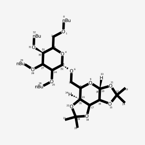 CCCCOCC1O[C@H](OCC2O[C@@H]3OC(C)(C)OC3C3OC(C)(C)O[C@@H]23)C(OCCCC)C(OCCCC)[C@H]1OCCCC